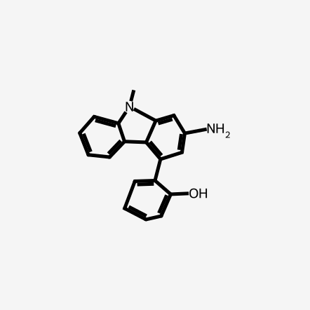 Cn1c2ccccc2c2c(-c3ccccc3O)cc(N)cc21